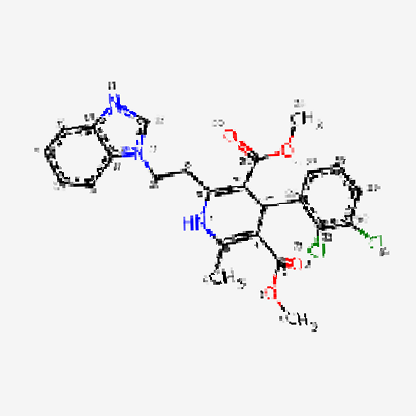 COC(=O)C1=C(C)NC(CCn2cnc3ccccc32)=C(C(=O)OC)C1c1cccc(Cl)c1Cl